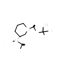 CN(C(=O)O)[C@H]1CCCN(C(=O)OC(C)(C)C)C1